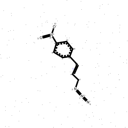 [N-]=[N+]=NC/C=C/c1ccc([N+](=O)[O-])cc1